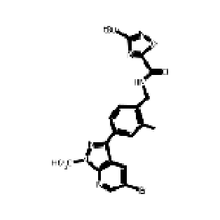 Cc1cc(-c2nn(C(=O)O)c3ncc(Br)cc23)ccc1CNC(=O)c1nc(C(C)(C)C)no1